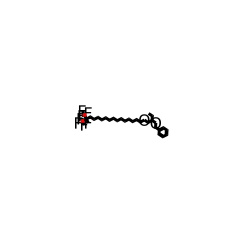 CCC(COCCCCCCCCCCCCCCC(F)(C(F)(F)F)C(F)(F)F)OCc1ccccc1